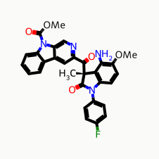 COC(=O)n1c2ccccc2c2cc(C(=O)[C@@]3(C)C(=O)N(c4ccc(F)cc4)c4ccc(OC)c(N)c43)ncc21